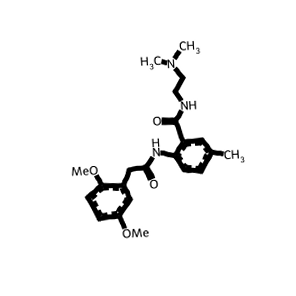 COc1ccc(OC)c(CC(=O)Nc2ccc(C)cc2C(=O)NCCN(C)C)c1